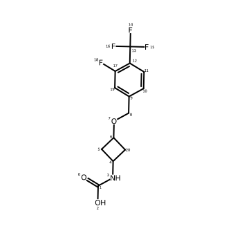 O=C(O)NC1CC(OCc2ccc(C(F)(F)F)c(F)c2)C1